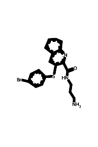 NCCCNC(=O)c1nc2ccccc2cc1Sc1ccc(Br)cc1